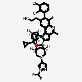 Cc1nc2c(F)c(-c3cccc(Cl)c3Cl)c(CCC#N)cc2c2c1cc([C@H]1[C@H]3C[C@H](CN(c4cnn(C(F)F)c4)C3)N1C(=O)C1CC1)n2[C@H]1[C@H]2CN[C@@H]1C2